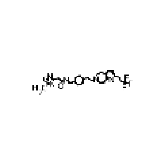 Cc1nc(CC(=O)/N=C/C2CCC(CCN3CCc4ccc(CCC(F)(F)F)nc4CC3)CC2)no1